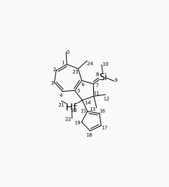 CC1=CC=CC2=C(C(=[Si](C)C)C(C)(C)[C]2(C2=CC=CC2)[Hf]([CH3])[CH3])C1C